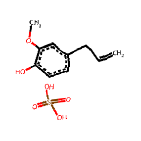 C=CCc1ccc(O)c(OC)c1.O=S(=O)(O)O